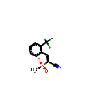 CS(=O)(=O)C(C#N)=Cc1ccccc1C(F)(F)F